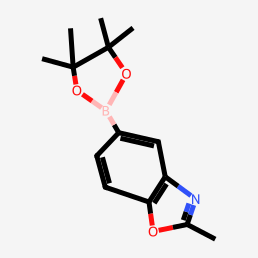 Cc1nc2cc(B3OC(C)(C)C(C)(C)O3)ccc2o1